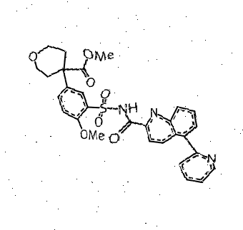 COC(=O)C1(c2ccc(OC)c(S(=O)(=O)NC(=O)c3ccc4c(-c5ccccn5)cccc4n3)c2)CCOCC1